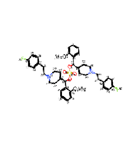 COc1ccccc1C(OS(=O)(=O)OC(c1ccccc1OC)C1CCN(CCc2ccc(F)cc2)CC1)C1CCN(CCc2ccc(F)cc2)CC1